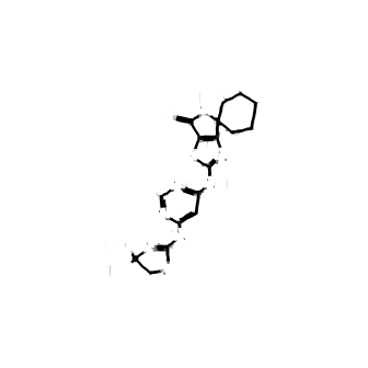 CC1(C)COC(Nc2cc(Nc3nc4c(s3)C(=O)NC43CCCCC3)ncn2)=N1